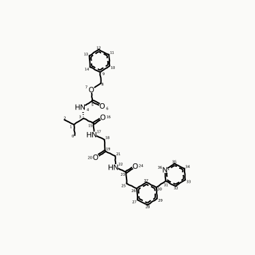 CC(C)[C@H](NC(=O)OCc1ccccc1)C(=O)NCC(=O)CNC(=O)Cc1cccc(-c2ccccn2)c1